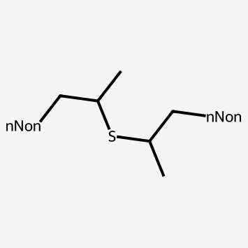 CCCCCCCCCCC(C)SC(C)CCCCCCCCCC